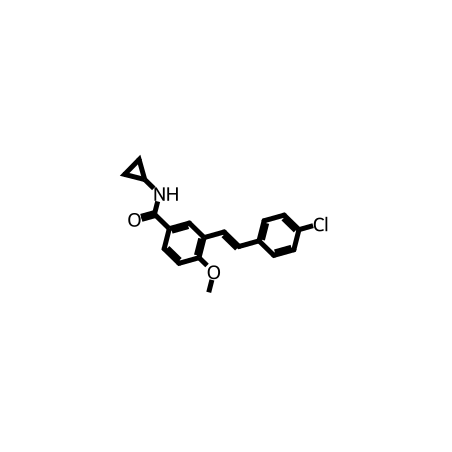 COc1ccc(C(=O)NC2CC2)cc1C=Cc1ccc(Cl)cc1